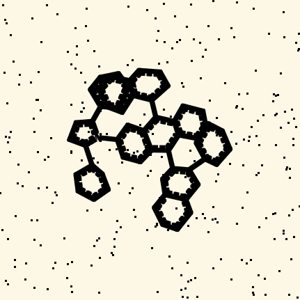 c1ccc(-c2cc3ccccc3cc2-c2c3ccccc3c(-c3cccc4ccccc34)c3cc(-n4c(-c5ccccc5)ccc4-c4ccccc4)ccc23)cc1